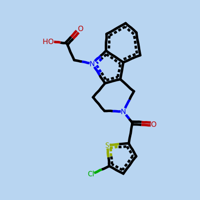 O=C(O)Cn1c2c(c3ccccc31)CN(C(=O)c1ccc(Cl)s1)CC2